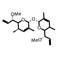 C=C[C@H](OC)C1O[C@H](O[C@H]2OC([C@H](C=C)OC)[C@H](C)C=C2C)C(C)=CC1C